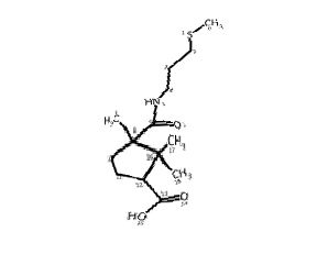 CSCCCNC(=O)C1(C)CCC(C(=O)O)C1(C)C